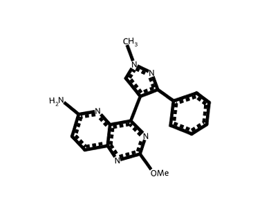 COc1nc(-c2cn(C)nc2-c2ccccc2)c2nc(N)ccc2n1